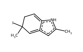 Cc1cc2c([nH]1)=CCC(C)(I)C=2